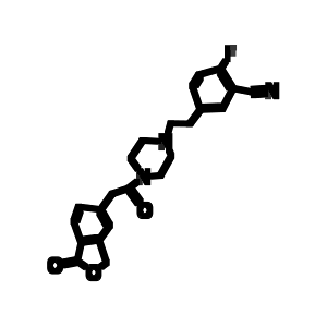 N#Cc1cc(CCN2CCN(C(=O)Cc3ccc4c(c3)COC4=O)CC2)ccc1F